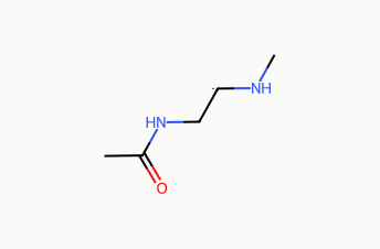 CN[CH]CNC(C)=O